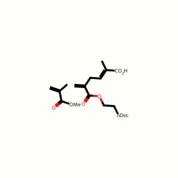 C=C(C)C(=O)OC.C=C(CC=C(C)C(=O)O)C(=O)OCCCCCCCCCCCC